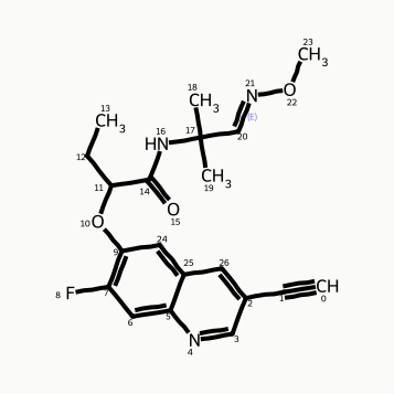 C#Cc1cnc2cc(F)c(OC(CC)C(=O)NC(C)(C)/C=N/OC)cc2c1